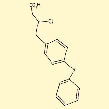 O=C(O)CC(Cl)Cc1ccc(Sc2ccccc2)cc1